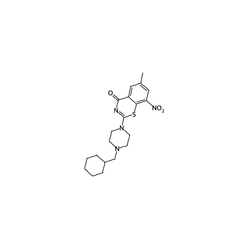 Cc1cc([N+](=O)[O-])c2sc(N3CCN(CC4CCCCC4)CC3)nc(=O)c2c1